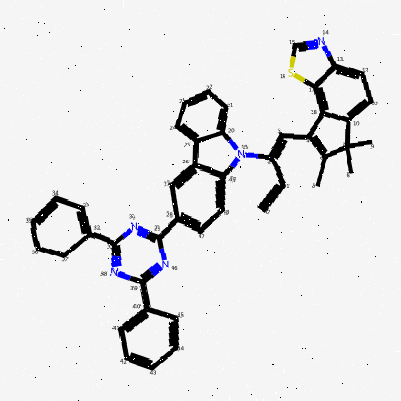 C=C/C(=C\C1=C(C)C(C)(C)c2ccc3ncsc3c21)n1c2ccccc2c2cc(-c3nc(C4=CC=CCC4)nc(-c4ccccc4)n3)ccc21